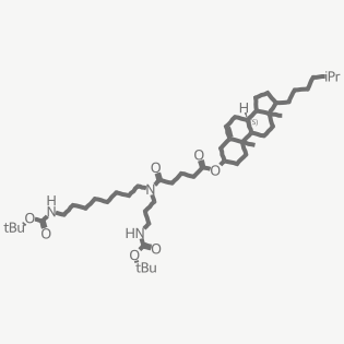 CC(C)CCCCC1CCC2[C@@H]3CC=C4CC(OC(=O)CCCC(=O)N(CCCCCCCCNC(=O)OC(C)(C)C)CCCNC(=O)OC(C)(C)C)CCC4(C)C3CCC12C